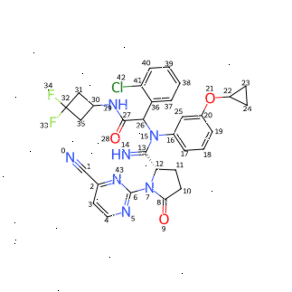 N#Cc1ccnc(N2C(=O)CC[C@H]2C(=N)N(c2cccc(OC3CC3)c2)C(C(=O)NC2CC(F)(F)C2)c2ccccc2Cl)n1